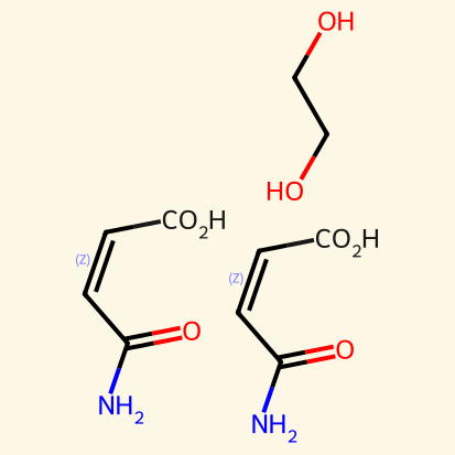 NC(=O)/C=C\C(=O)O.NC(=O)/C=C\C(=O)O.OCCO